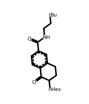 CCCCCCC1CCc2cc(C(=O)NCCC(C)(C)C)ccc2C1=O